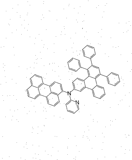 c1ccc(-c2cc(-c3ccccc3)c3c4ccccc4c4cc(N(c5ccccn5)c5ccc6c7cccc8cccc(c9cccc5c96)c87)ccc4c3c2-c2ccccc2)cc1